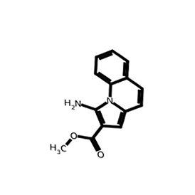 COC(=O)c1cc2ccc3ccccc3n2c1N